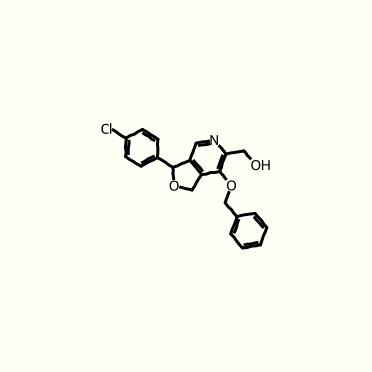 OCc1ncc2c(c1OCc1ccccc1)COC2c1ccc(Cl)cc1